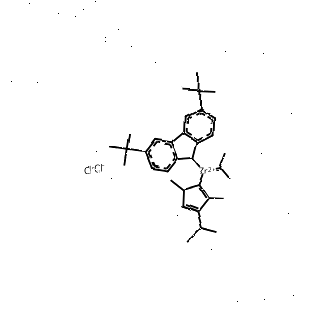 CC1=[C]([Zr+2](=[C](C)C)[CH]2c3ccc(C(C)(C)C)cc3-c3cc(C(C)(C)C)ccc32)C(C)C=C1C(C)C.[Cl-].[Cl-]